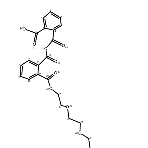 O=C(O)c1ccccc1C(=O)OC(=O)c1ccccc1C(=O)OCCOCCOCCO